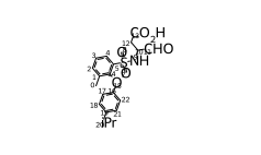 Cc1cccc(S(=O)(=O)NC(C=O)CC(=O)O)c1Oc1ccc(C(C)C)cc1